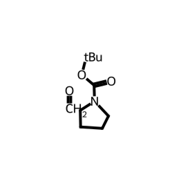 C=O.CC(C)(C)OC(=O)N1CCCC1